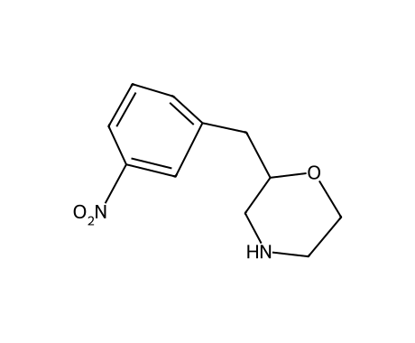 O=[N+]([O-])c1cccc(CC2CNCCO2)c1